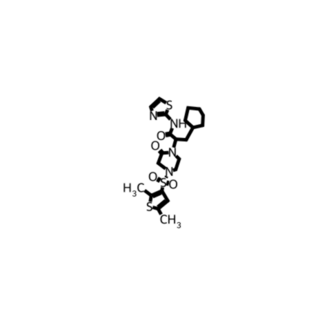 Cc1cc(S(=O)(=O)N2CCN(C(CC3CCCCC3)C(=O)Nc3nccs3)C(=O)C2)c(C)s1